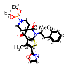 CCOP(OCC)N1CCC2(CC1)C(=O)c1c(sc(-c3ncco3)c1C)N(CCc1ccccc1OC)C2=O